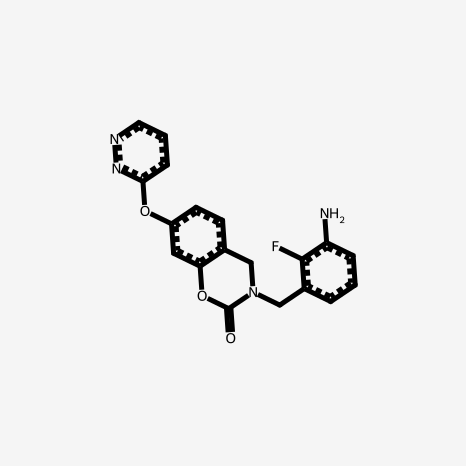 Nc1cccc(CN2Cc3ccc(Oc4cccnn4)cc3OC2=O)c1F